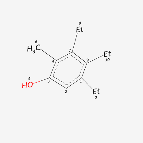 CCc1cc(O)c(C)c(CC)c1CC